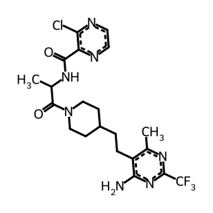 Cc1nc(C(F)(F)F)nc(N)c1CCC1CCN(C(=O)C(C)NC(=O)c2nccnc2Cl)CC1